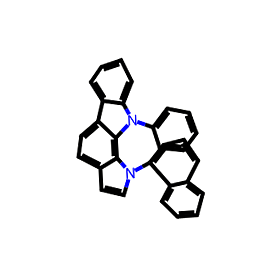 c1ccc(-n2c3ccccc3c3ccc4ccn(-c5cccc6ccccc56)c4c32)cc1